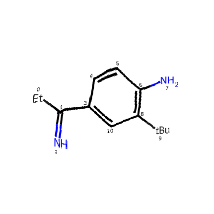 CCC(=N)c1ccc(N)c(C(C)(C)C)c1